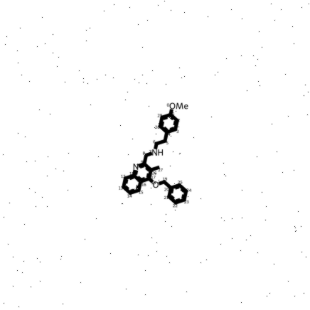 COc1ccc(CCNCc2nc3ccccc3c(OCc3ccccc3)c2C)cc1